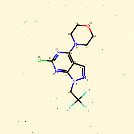 FC(F)(F)Cn1ncc2c(N3CCOCC3)nc(Cl)nc21